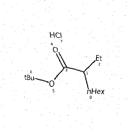 CCCCCCC(CC)C(=O)OC(C)(C)C.Cl